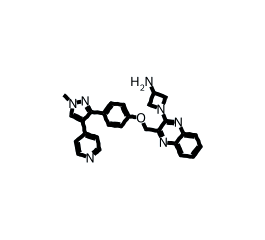 Cn1cc(-c2ccncc2)c(-c2ccc(OCc3nc4ccccc4nc3N3CC(N)C3)cc2)n1